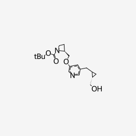 CC(C)(C)OC(=O)N1CC[C@H]1COc1cncc(CC2C[C@@H]2CO)c1